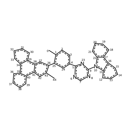 Cc1ccc(-c2ncnc(-n3c4ccccc4c4ccccc43)n2)cc1-c1cc2c3ccccc3c3ccccc3c2cc1C